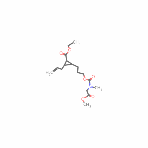 C=CCC1C(CCCOC(=O)N(C)CC(=O)OC)C1C(=O)OCC